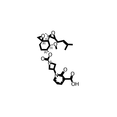 CO[C@@H]1[C@H](OC(=O)N2CC(n3cccc(C(=O)O)c3=O)C2)CC[C@]2(CO2)[C@H]1[C@@]1(C)OC1CC=C(C)C